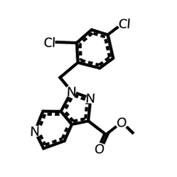 COC(=O)c1nn(Cc2ccc(Cl)cc2Cl)c2cnccc12